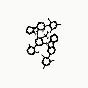 Cc1cc(C)c(-c2ccc3c4ccccc4n(-c4cc(-c5c(F)cccc5F)cc(-n5c6ccccc6c6ccc(-c7c(C)cc(C)cc7C)cc65)c4C(F)(F)F)c3c2)c(C)c1